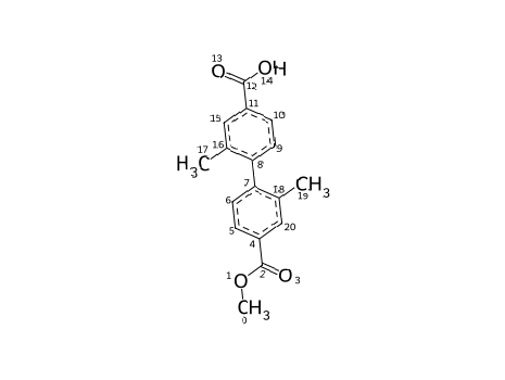 COC(=O)c1ccc(-c2ccc(C(=O)O)cc2C)c(C)c1